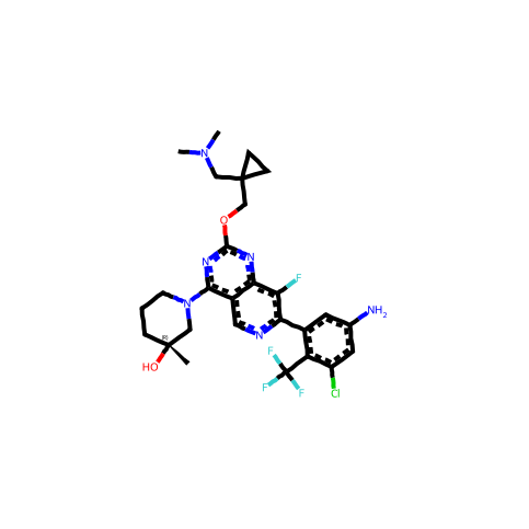 CN(C)CC1(COc2nc(N3CCC[C@@](C)(O)C3)c3cnc(-c4cc(N)cc(Cl)c4C(F)(F)F)c(F)c3n2)CC1